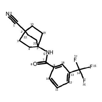 N#CC12CCC(NC(=O)c3cccc(C(F)(F)F)c3)(CC1)CC2